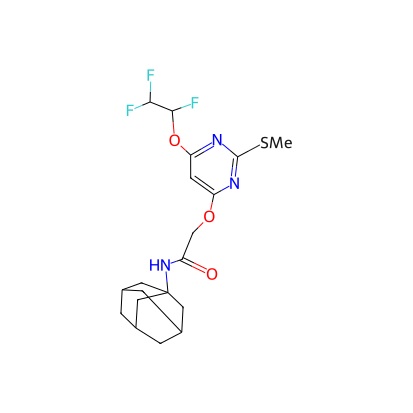 CSc1nc(OCC(=O)NC23CC4CC(CC(C4)C2)C3)cc(OC(F)C(F)F)n1